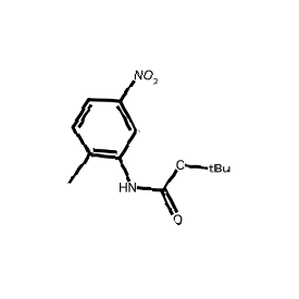 Cc1ccc([N+](=O)[O-])[c]c1NC(=O)OC(C)(C)C